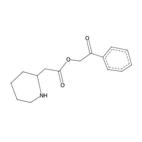 O=C(CC1CCCCN1)OCC(=O)c1ccccc1